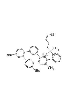 CC/C=C\CCC(C)(C)[n+]1ccccc1-c1cc(-c2cccc(-c3ccc(C(C)(C)C)cc3-c3ccc(C(C)(C)C)cc3)c2)ccc1C